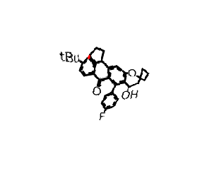 CC(C)(C)c1ccc(C(=O)c2c(C3CCCC3)cc3c(c2-c2ccc(F)cc2)[C@@H](O)CC2(CCC2)O3)cc1